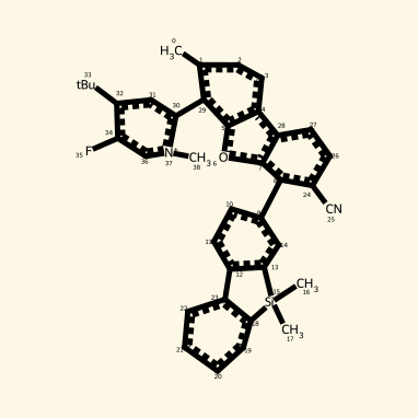 Cc1ccc2c(oc3c(-c4ccc5c(c4)[Si](C)(C)c4ccccc4-5)c(C#N)ccc32)c1-c1cc(C(C)(C)C)c(F)c[n+]1C